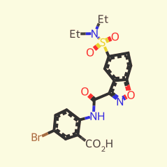 CCN(CC)S(=O)(=O)c1ccc2onc(C(=O)Nc3ccc(Br)cc3C(=O)O)c2c1